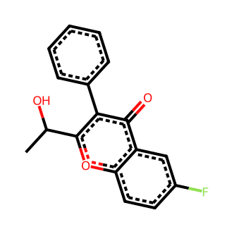 CC(O)c1oc2ccc(F)cc2c(=O)c1-c1ccccc1